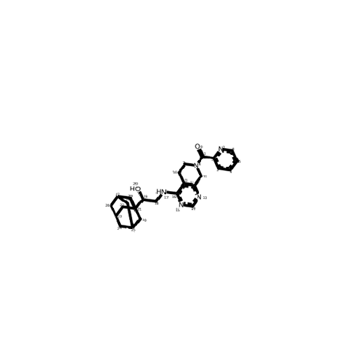 O=C(c1ccccn1)N1CCc2c(ncnc2NCC(O)C23CC4CC(CC(C4)C2)C3)C1